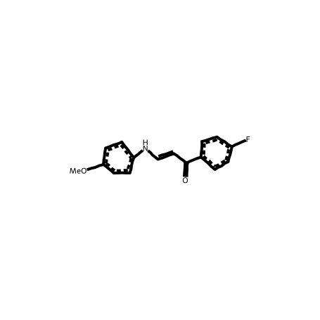 COc1ccc(N/C=C/C(=O)c2ccc(F)cc2)cc1